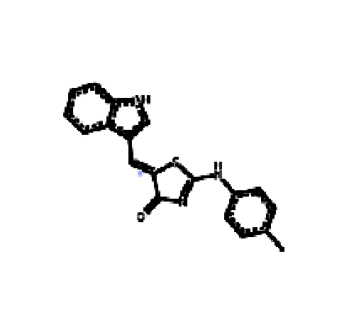 Cc1ccc(NC2=NC(=O)/C(=C/c3c[nH]c4ccccc34)S2)cc1